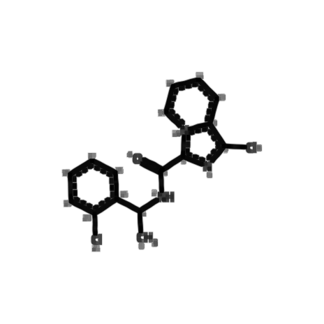 CC(NC(=O)c1nc(Cl)c2ccccn12)c1ccccc1Cl